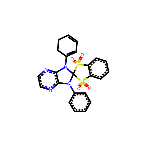 O=S1(=O)c2ccccc2S(=O)(=O)C12N(C1=CC=CCC1)c1nccnc1N2c1ccccc1